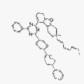 C\C=C/C=C\C=C\C1(C)C=Cc2c(oc3c2C(c2nc(-c4ccccc4)nc(-c4ccc(C5=CC=C(c6ccccc6)CC5)cc4)n2)=CCC3)C1